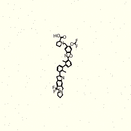 Cc1c(C2=Nc3cc(CN4CCCC4)c(C(F)(F)F)cc3C2)cccc1-c1cccc(-c2nc3cc(CN4CCCC4C(=O)O)c(OC(F)F)cc3o2)c1C